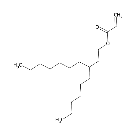 C=CC(=O)OCCC(CCCCCC)CCCCCCC